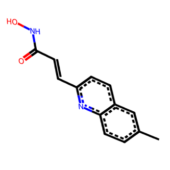 Cc1ccc2nc(C=CC(=O)NO)ccc2c1